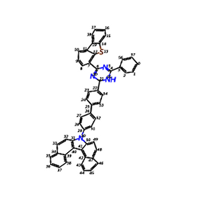 c1ccc(C2=NC(c3cccc4c3sc3ccccc34)=NC(c3ccc(-c4ccc(-n5c6ccc7ccccc7c6c6c7ccccc7ccc65)cc4)cc3)N2)cc1